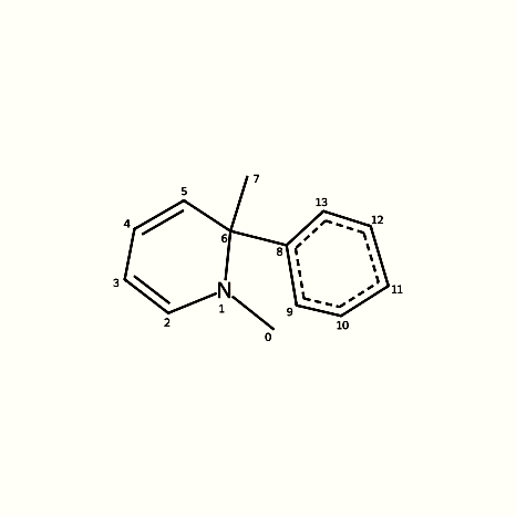 CN1C=CC=CC1(C)c1ccccc1